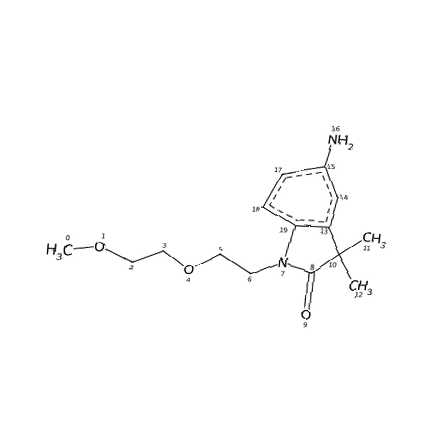 COCCOCCN1C(=O)C(C)(C)c2cc(N)ccc21